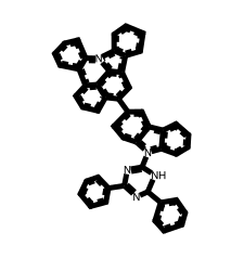 c1ccc(C2=NC(c3ccccc3)NC(n3c4ccccc4c4cc(-c5cc6c7ccccc7n7c8ccccc8c8cccc5c8c67)ccc43)=N2)cc1